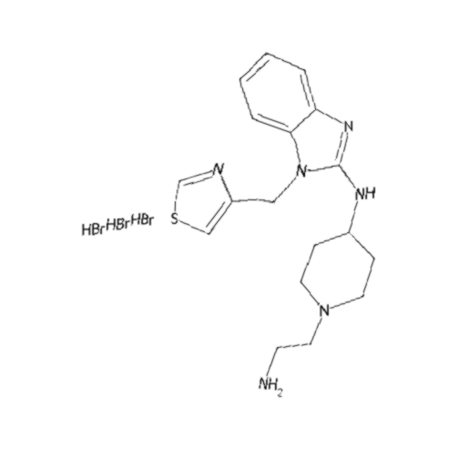 Br.Br.Br.NCCN1CCC(Nc2nc3ccccc3n2Cc2cscn2)CC1